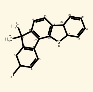 CC1(C)C2=C(C=CC(I)C2)c2c1ccc1c2SC2C=CC=CC12